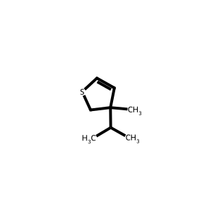 CC(C)C1(C)C=CSC1